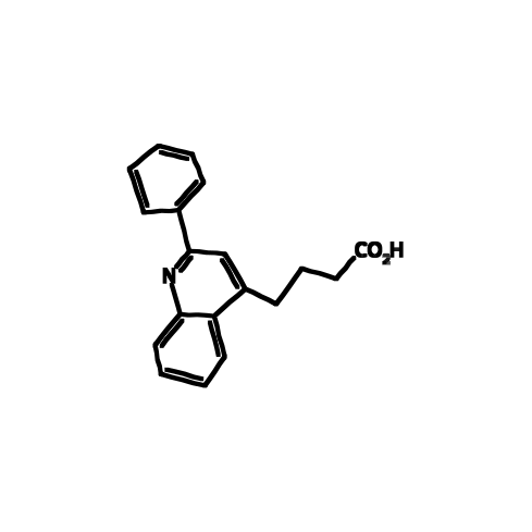 O=C(O)CCCc1cc(-c2ccccc2)nc2ccccc12